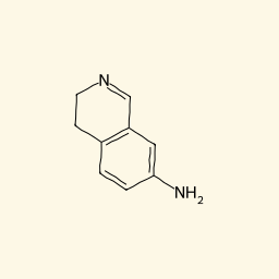 Nc1ccc2c(c1)C=NCC2